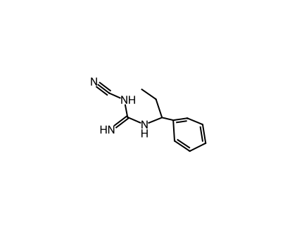 CCC(NC(=N)NC#N)c1ccccc1